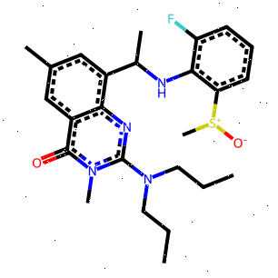 CCCN(CCC)c1nc2c(C(C)Nc3c(F)cccc3[S+](C)[O-])cc(C)cc2c(=O)n1C